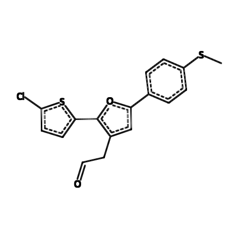 CSc1ccc(-c2cc(CC=O)c(-c3ccc(Cl)s3)o2)cc1